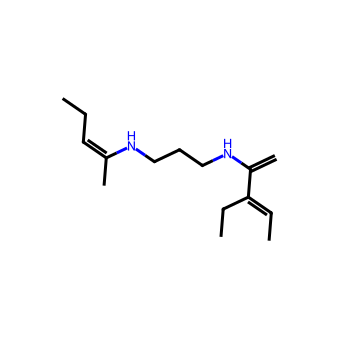 C=C(NCCCN/C(C)=C\CC)/C(=C/C)CC